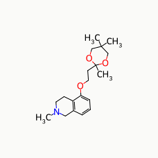 CN1CCc2c(cccc2OCCC2(C)OCC(C)(C)CO2)C1